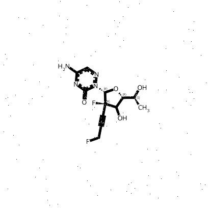 C[C@H](O)[C@H]1O[C@@H](n2ncc(N)nc2=O)[C@@](F)(C#CCF)C1O